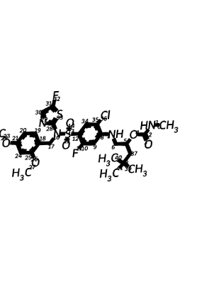 CNC(=O)OC(CNc1cc(F)c(S(=O)(=O)N(Cc2ccc(OC)cc2OC)c2ncc(F)s2)cc1Cl)CC(C)(C)C